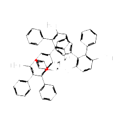 CC(C)(C)c1ccc(OP(=O)(Oc2ccc(C(C)(C)C)c(-c3ccccc3)c2-c2ccccc2)Oc2ccc(C(C)(C)C)c(-c3ccccc3)c2-c2ccccc2)c(-c2ccccc2)c1-c1ccccc1